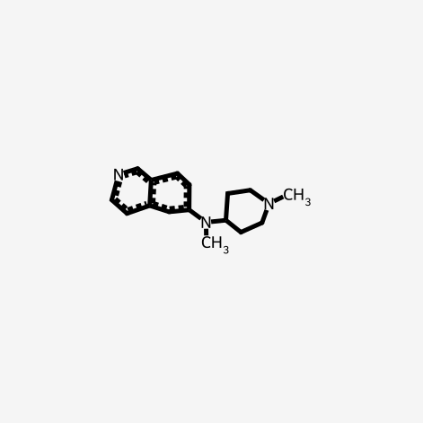 CN1CCC(N(C)c2ccc3cnccc3c2)CC1